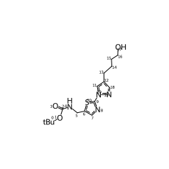 CC(C)(C)OC(=O)NCc1cnc(-n2cc(CCCCO)cn2)s1